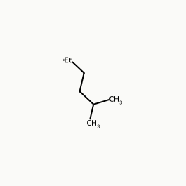 C[C]CCC(C)C